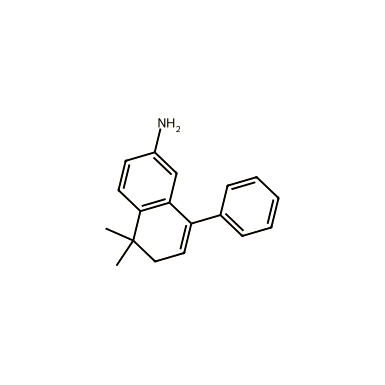 CC1(C)CC=C(c2ccccc2)c2cc(N)ccc21